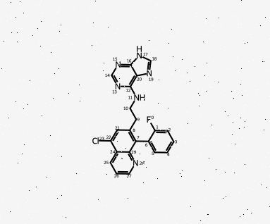 Fc1ccccc1-c1c(CCNc2ncnc3[nH]cnc23)cc(Cl)c2cccnc12